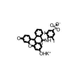 O=C(Nc1c(I)cc(S(=O)(=O)[O-])cc1I)c1ccccc1-c1c2ccc(=O)cc-2oc2cc(O)ccc12.[K+]